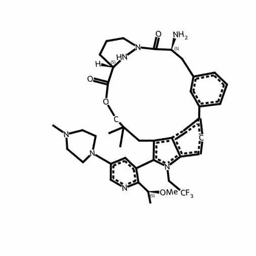 CO[C@@H](C)c1ncc(N2CCN(C)CC2)cc1-c1c2c3cc(ccc3n1CC(F)(F)F)-c1cccc(c1)C[C@H](N)C(=O)N1CCC[C@H](N1)C(=O)OCC(C)(C)C2